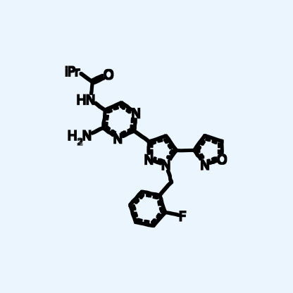 CC(C)C(=O)Nc1cnc(-c2cc(-c3ccon3)n(Cc3ccccc3F)n2)nc1N